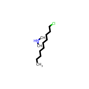 CCCCCCCCCCCl.CNC